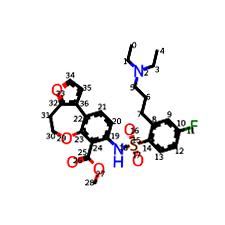 CCN(CC)CCCc1cc(F)ccc1S(=O)(=O)Nc1ccc2c(c1C(=O)OC)OCCc1occc1-2